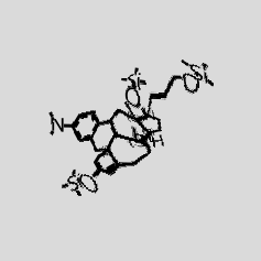 CN(C)c1ccc2c(c1)C[C@]13CC=C(O[Si](C)(C)C)C=C1CC[C@@H]1C3C2C[C@@]2(C)[C@@H]1CC[C@@]2(CCCO[Si](C)(C)C)O[Si](C)(C)C